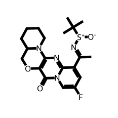 CC(=N[S+]([O-])C(C)(C)C)c1cc(F)cn2c(=O)c3c(nc12)N1CCCCC1CO3